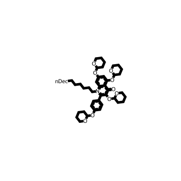 CCCCCCCCCCCCCCCCn1c(-c2ccc(OC3CCCCO3)cc2)c(OC2CCCCO2)c(=O)c2c(OC3CCCCO3)cc(OC3CCCCO3)cc21